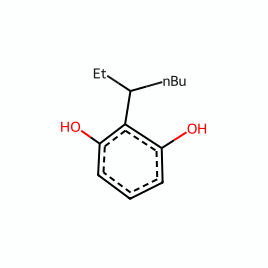 CCCCC(CC)c1c(O)cccc1O